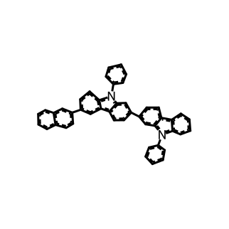 c1ccc(-n2c3ccccc3c3ccc(-c4ccc5c6cc(-c7ccc8ccccc8c7)ccc6n(-c6ccccc6)c5c4)cc32)cc1